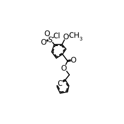 COc1cc(C(=O)OCc2ccccc2)ccc1S(=O)(=O)Cl